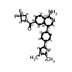 Cc1nc(-c2ccc(-c3cnc(N)c4ccc(C(=O)N5CC(F)(F)C5)cc34)cc2)cn1C